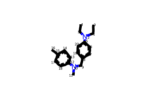 CCN(CC)c1ccc(CN(C)c2ccc(C)cc2)cc1